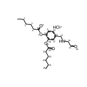 CCCCCC(=O)Oc1ccc(CNCC=O)cc1OC(=O)CCCCC.Cl